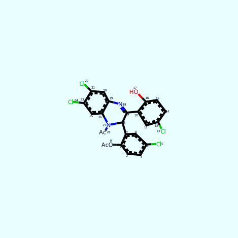 CC(=O)Oc1ccc(Cl)cc1C1C(c2cc(Cl)ccc2O)=Nc2cc(Cl)c(Cl)cc2N1C(C)=O